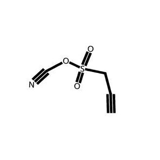 C#CCS(=O)(=O)OC#N